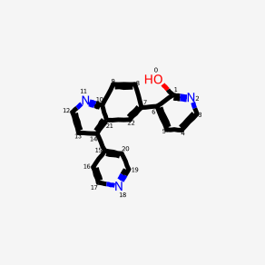 Oc1ncccc1-c1ccc2nccc(-c3ccncc3)c2c1